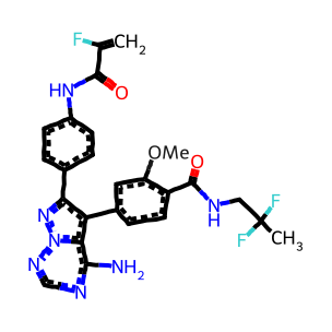 C=C(F)C(=O)Nc1ccc(-c2nn3ncnc(N)c3c2-c2ccc(C(=O)NCC(C)(F)F)c(OC)c2)cc1